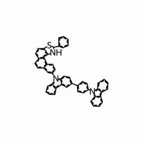 c1ccc(C2Nc3c(ccc4ccc5cc(-n6c7ccccc7c7cc(-c8ccc(-n9c%10ccccc%10c%10ccccc%109)cc8)ccc76)ccc5c34)S2)cc1